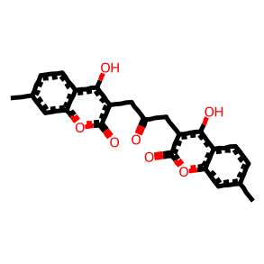 Cc1ccc2c(O)c(CC(=O)Cc3c(O)c4ccc(C)cc4oc3=O)c(=O)oc2c1